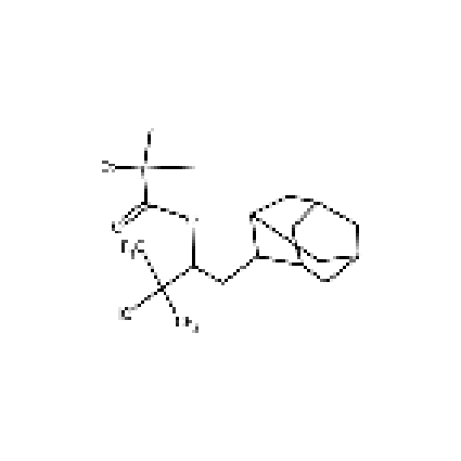 CCC(C)(C)C(=O)OC(CC1C2CC3CC(C2)CC1C3)C(O)(C(F)(F)F)C(F)(F)F